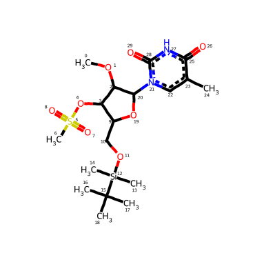 COC1C(OS(C)(=O)=O)C(CO[Si](C)(C)C(C)(C)C)OC1n1cc(C)c(=O)[nH]c1=O